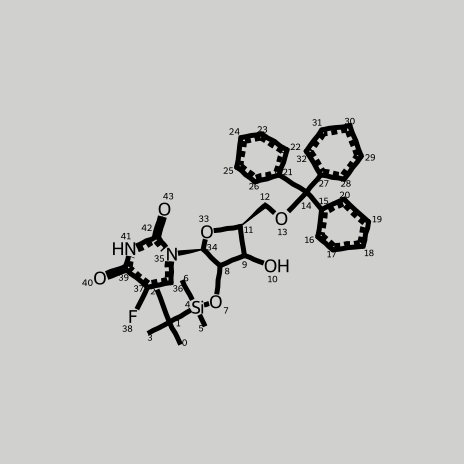 CC(C)(C)[Si](C)(C)OC1C(O)[C@H](COC(c2ccccc2)(c2ccccc2)c2ccccc2)O[C@@H]1n1cc(F)c(=O)[nH]c1=O